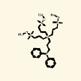 CC(C)(C)O[Si](C)(C)CCC[Si](CCCP(c1ccccc1)c1ccccc1)(CCC[Si](C)(C)OC(C)(C)C)CCC[Si](C)(C)OC(C)(C)C